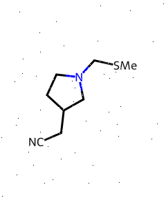 CSCN1CCC(CC#N)C1